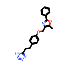 Cc1oc(-c2ccccc2)nc1COc1ccc(CCc2nnn[nH]2)cc1